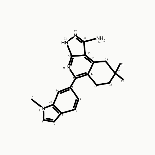 Cn1ccc2ccc(-c3nc4[nH]nc(N)c4c4c3CCC(C)(C)C4)cc21